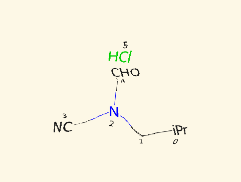 CC(C)CN(C#N)C=O.Cl